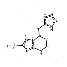 O=C(O)c1cn2c(n1)NCCC2Cc1nnn[nH]1